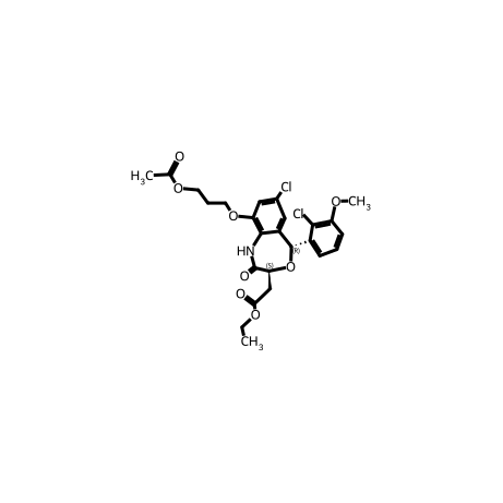 CCOC(=O)C[C@@H]1O[C@@H](c2cccc(OC)c2Cl)c2cc(Cl)cc(OCCCOC(C)=O)c2NC1=O